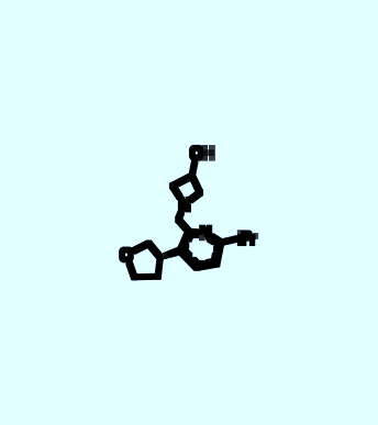 CC(C)c1ccc([C@H]2CCOC2)c(CN2CC(O)C2)n1